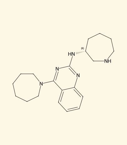 c1ccc2c(N3CCCCCC3)nc(N[C@@H]3CCCCNC3)nc2c1